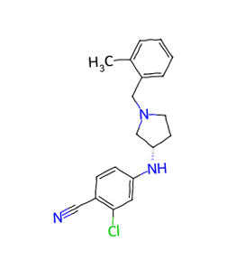 Cc1ccccc1CN1CC[C@H](Nc2ccc(C#N)c(Cl)c2)C1